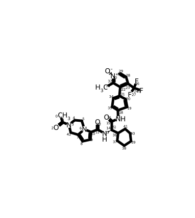 CC(=O)N1CCn2c(ccc2C(=O)N[C@H](C(=O)Nc2ccc(-c3c(C(F)(F)F)cc[n+]([O-])c3C)cc2)C2CCCCC2)C1